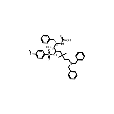 COc1ccc(S(=O)(=O)NC(CC(C)(C)CCN(Cc2ccccc2)Cc2ccccc2)[C@H](O)[C@H](Cc2ccccc2)NC(=O)O)cc1